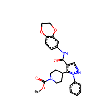 CC(C)(C)OC(=O)N1CCC(c2c(C(=O)Nc3ccc4c(c3)OCCO4)cnn2-c2ccccc2)CC1